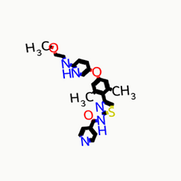 COCCNc1ccc(Oc2cc(C)c(-c3csc(NC(=O)c4ccncc4)n3)c(C)c2)cn1